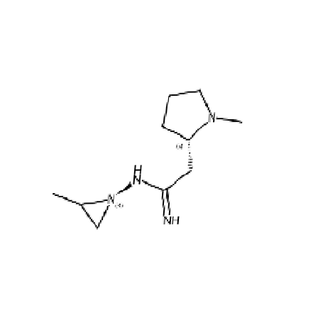 CC1C[N@]1NC(=N)C[C@@H]1CCCN1C